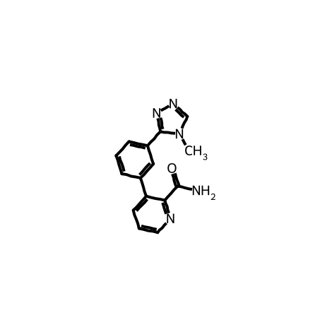 Cn1cnnc1-c1cccc(-c2cccnc2C(N)=O)c1